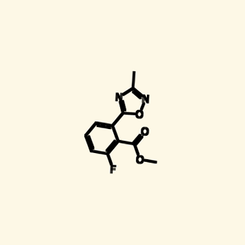 COC(=O)c1c(F)cccc1-c1nc(C)no1